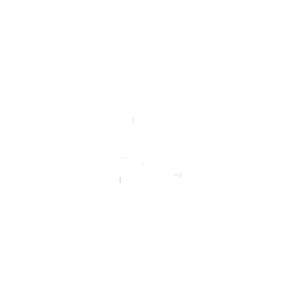 CC1=C([C](=O)[Co])CC=C1.I.I